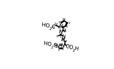 CC(N=NCC(C(=O)O)[n+]1ccn(C(=O)O)c1)=NN=c1ccccn1CCC(=O)O